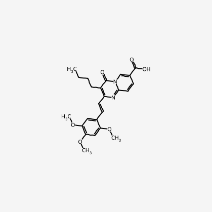 CCCCc1c(C=Cc2cc(OC)c(OC)cc2OC)nc2ccc(C(=O)O)cn2c1=O